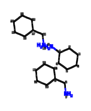 NC1CCCCC1.NCC1CCCCC1.NCC1CCCCC1